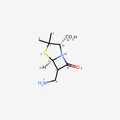 CC1(C)S[C@@H]2C(CN)C(=O)N2[C@H]1C(=O)O